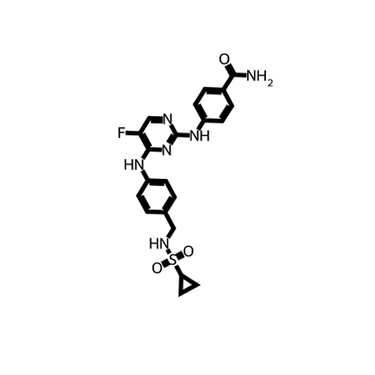 NC(=O)c1ccc(Nc2ncc(F)c(Nc3ccc(CNS(=O)(=O)C4CC4)cc3)n2)cc1